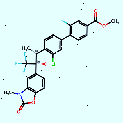 COC(=O)c1ccc(-c2ccc([C@@H](C)[C@@](O)(c3ccc4oc(=O)n(C)c4c3)C(F)(F)F)c(Cl)c2)c(F)c1